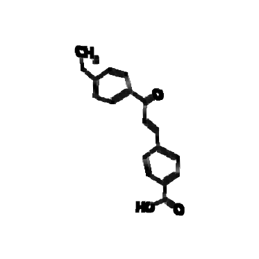 CCc1ccc(C(=O)/C=C/c2ccc(C(=O)O)cc2)cc1